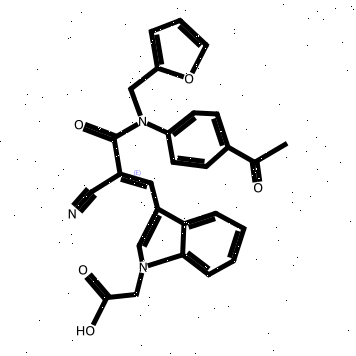 CC(=O)c1ccc(N(Cc2ccco2)C(=O)/C(C#N)=C/c2cn(CC(=O)O)c3ccccc23)cc1